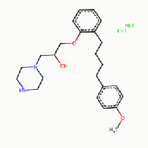 COc1ccc(CCCCc2ccccc2OCC(O)CN2CCNCC2)cc1.Cl.Cl